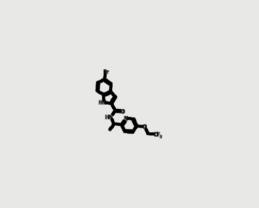 CC(NC(=O)c1cc2cc(Br)ccc2[nH]1)c1ccc(OCC(F)(F)F)cn1